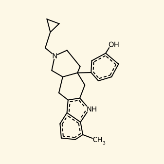 Cc1cccc2c3c([nH]c12)CC1(c2cccc(O)c2)CCN(CC2CC2)CC1C3